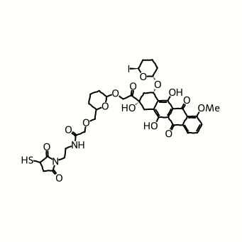 COc1cccc2c1C(=O)c1c(O)c3c(c(O)c1C2=O)C[C@@](O)(C(=O)COC1CCCC(COCC(=O)NCCN2C(=O)CC(S)C2=O)O1)C[C@@H]3O[C@H]1CCC[C@H](I)O1